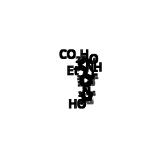 CCc1cc(C(=O)O)c(=O)[nH]c1-c1ccc(N2CC[C@@H](O)C2)cc1F